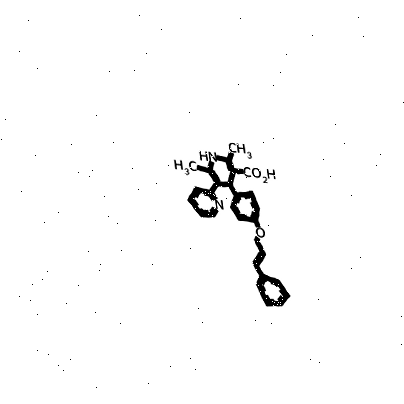 CC1=C(C(=O)O)C(c2ccc(OCC=Cc3ccccc3)cc2)C(c2ccccn2)=C(C)N1